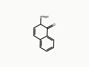 CCCCCCCC1C=Cc2ccccc2C1=O